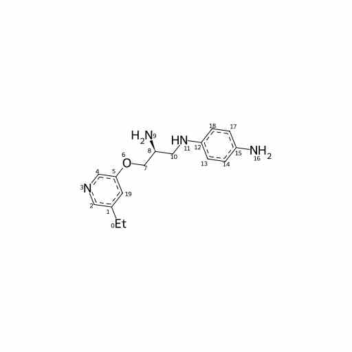 CCc1cncc(OC[C@@H](N)CNc2ccc(N)cc2)c1